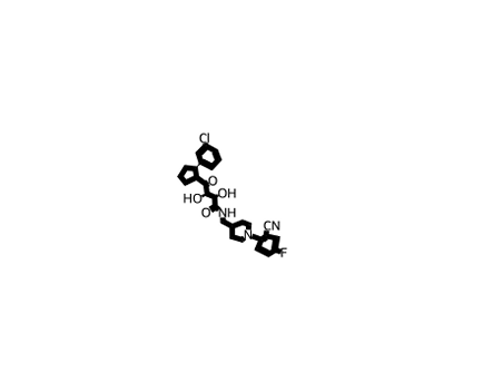 N#Cc1cc(F)ccc1N1CCC(CNC(=O)[C@H](O)[C@@H](O)C(=O)C2CCC[C@@H]2c2cccc(Cl)c2)CC1